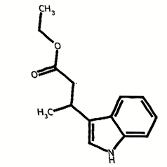 CCOC(=O)[CH]C(C)c1c[nH]c2ccccc12